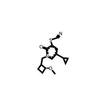 CO[C@H]1CCC1Cn1cc(C2CC2)cc(SC#N)c1=O